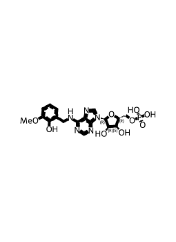 COc1cccc(CNc2ncnc3c2ncn3[C@@H]2O[C@H](COP(=O)(O)O)[C@@H](O)[C@H]2O)c1O